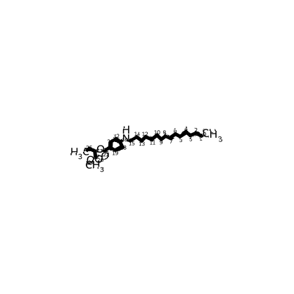 CCCCCCCCCCCCCCCCNc1ccc(C(=O)OC(CC)C(=O)OC)cc1